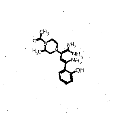 CC(=O)N1CCN(C(/C=C(\N)c2ccccc2O)=C(N)N)CC1C